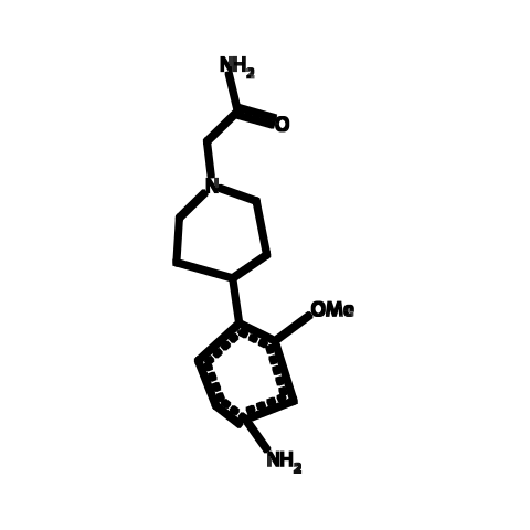 COc1cc(N)ccc1C1CCN(CC(N)=O)CC1